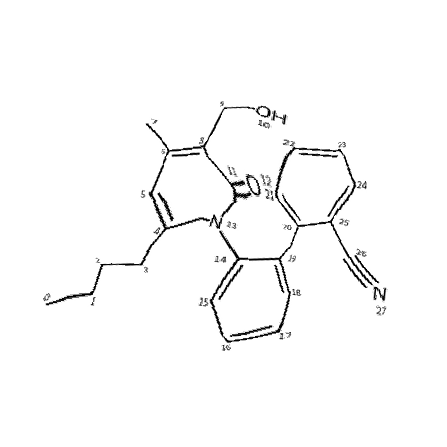 CCCCc1cc(C)c(CO)c(=O)n1-c1ccccc1-c1ccccc1C#N